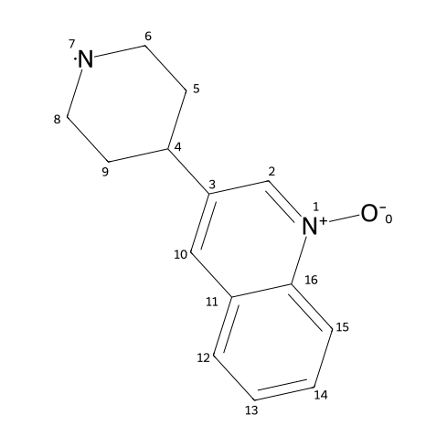 [O-][n+]1cc(C2CC[N]CC2)cc2ccccc21